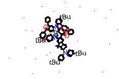 CC(C)(C)c1ccc(N2B3c4cc5c(-c6ccccc6)oc(-c6ccccc6)c5cc4N(c4ccc(C(C)(C)C)cc4-c4ccccc4)c4cc5c(oc6ccccc65)c(c43)-c3cc4c(cc32)C(C)(C)c2cc(N(c3ccc(C(C)(C)C)cc3)c3ccc(C(C)(C)C)cc3)ccc2-4)cc1